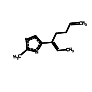 C=CCC/C(=C\C)c1csc(C)n1